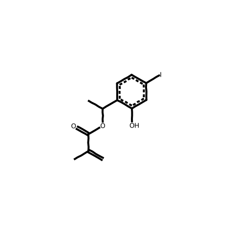 C=C(C)C(=O)OC(C)c1ccc(I)cc1O